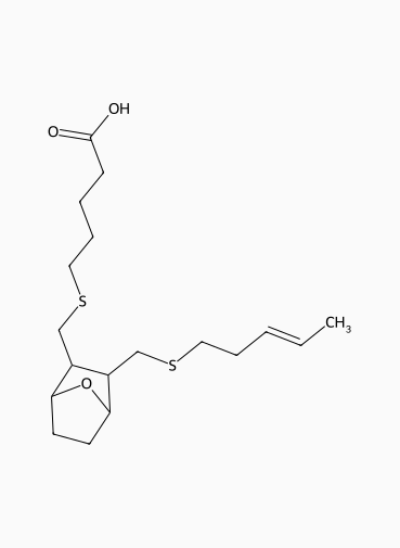 CC=CCCSCC1C2CCC(O2)C1CSCCCCC(=O)O